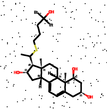 CCC(O)(CC)CCCSC(C)[C@H]1[C@@H](O)C[C@H]2C3=CC=C4C[C@@H](O)C[C@H](O)[C@]4(C)[C@H]3CC[C@@]21C